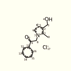 Cc1c(CO)sc[n+]1CC(=O)c1ccccc1.[Cl-]